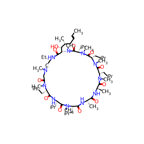 C/C=C/C[C@@H](C)[C@@H](O)[C@H]1C(=O)N[C@@H](CC)CN(C)CC(=O)N(C)[C@@H](CC(C)C)C(=O)N[C@@H](C(C)C)C(=O)N(C)[C@@H](CC(C)C)C(=O)N[C@@H](C)C(=O)N[C@H](C)C(=O)N(C)[C@@H](CC(C)C)C(=O)N(C)[C@@H](CC(C)C)C(=O)N(C)[C@@H](C(C)C)C(=O)N1C